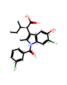 CCC(C)[C@@H](C(=O)O)c1c(C)n(C(=O)c2cccc(Cl)c2)c2cc(F)c(O)cc12